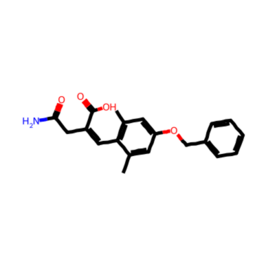 Cc1cc(OCc2ccccc2)cc(C)c1/C=C(/CC(N)=O)C(=O)O